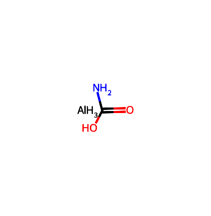 NC(=O)O.[AlH3]